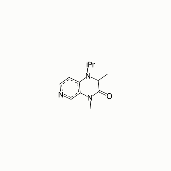 CC(C)N1c2ccncc2N(C)C(=O)C1C